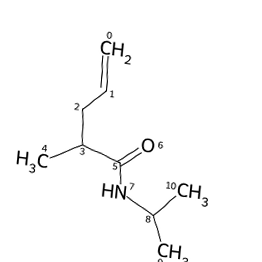 C=CCC(C)C(=O)NC(C)C